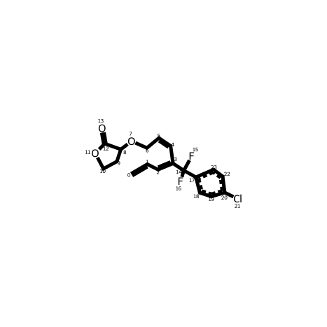 C=C/C=C(\C=C/COC1CCOC1=O)C(F)(F)c1ccc(Cl)cc1